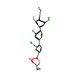 CCCCCCCCCCC1COC(c2ccc(-c3ccc(-c4cc(F)c(CF)c(F)c4)c(F)c3)c(F)c2)OC1